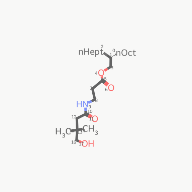 CCCCCCCC[C@@H](CCCCCCC)COC(=O)CCNC(=O)CC(C)(C)CO